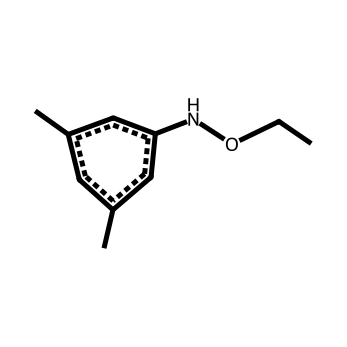 CCONc1cc(C)cc(C)c1